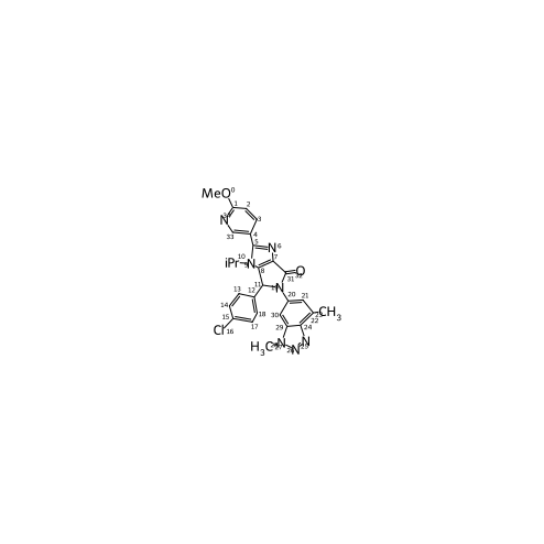 COc1ccc(-c2nc3c(n2C(C)C)C(c2ccc(Cl)cc2)N(c2cc(C)c4nnn(C)c4c2)C3=O)cn1